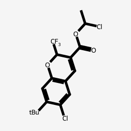 CC(Cl)OC(=O)C1=Cc2cc(Cl)c(C(C)(C)C)cc2OC1C(F)(F)F